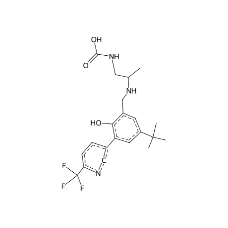 CC(CNC(=O)O)NCc1cc(C(C)(C)C)cc(-c2ccc(C(F)(F)F)nc2)c1O